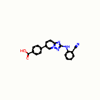 N#Cc1ccccc1Nc1nc2ccc(-c3ccc(C(=O)O)cc3)cn2n1